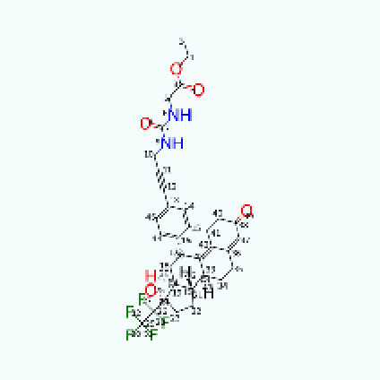 CCOC(=O)CNC(=O)NCC#Cc1ccc([C@H]2C[C@@]3(C)[C@@H](CC[C@@]3(O)C(F)(F)C(F)(F)F)[C@@H]3CCC4=CC(=O)CCC4=C32)cc1